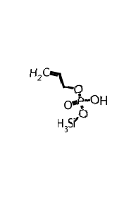 C=CCOP(=O)(O)O[SiH3]